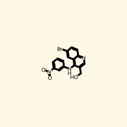 O=[N+]([O-])c1cccc(Nc2c(CO)cnc3ccc(Br)cc23)c1